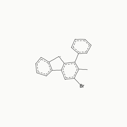 Cc1c(Br)cc2c(c1-c1ccccc1)[CH]c1ccccc1-2